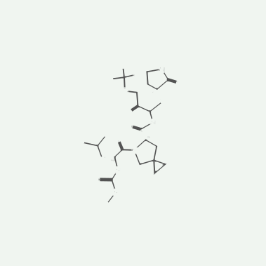 CNC(=O)N[C@H](CC(C)C)C(=O)N1CC2(CC2)C[C@H]1C(=O)NC(C[C@@H]1CCNC1=O)C(=O)COC(F)(F)F